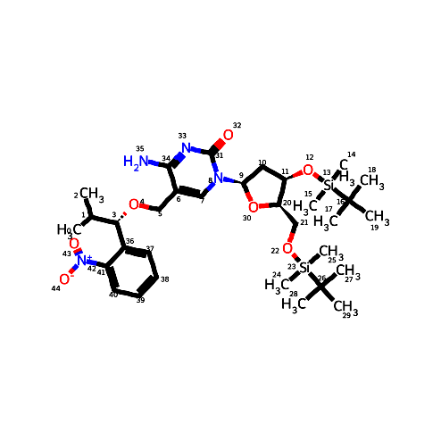 CC(C)[C@H](OCc1cn([C@H]2C[C@@H](O[Si](C)(C)C(C)(C)C)[C@@H](CO[Si](C)(C)C(C)(C)C)O2)c(=O)nc1N)c1ccccc1[N+](=O)[O-]